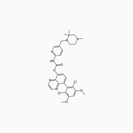 COc1cc(OC)c(Cl)c(-c2ccc(OC(=O)Nc3ccc(CN4CCN(C)CC4(C)C)cn3)c3nccnc23)c1Cl